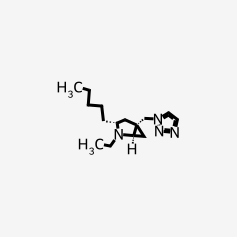 CCCCC[C@@H]1C[C@@]2(Cn3ccnn3)C[C@H]2N1CC